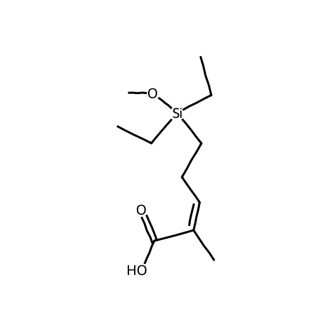 CC[Si](CC)(CCC=C(C)C(=O)O)OC